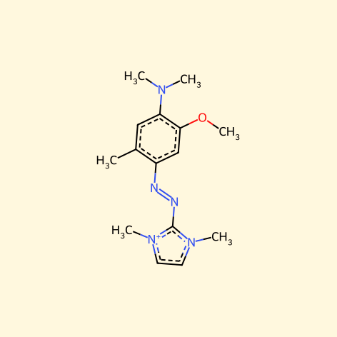 COc1cc(N=Nc2n(C)cc[n+]2C)c(C)cc1N(C)C